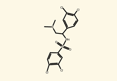 CN(C)CC(NS(=O)(=O)c1ccc(Cl)c(Cl)c1)c1ccc(Cl)c(Cl)c1